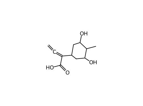 C=C=C(C(=O)O)C1CC(O)C(C)C(O)C1